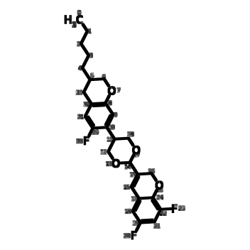 CCCCCC1COc2cc(C3COC(C4=Cc5cc(F)cc(F)c5OC4)OC3)c(F)cc2C1